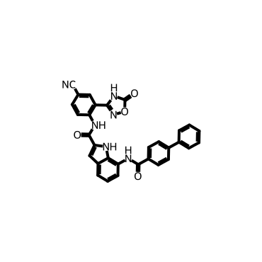 N#Cc1ccc(NC(=O)c2cc3cccc(NC(=O)c4ccc(-c5ccccc5)cc4)c3[nH]2)c(-c2noc(=O)[nH]2)c1